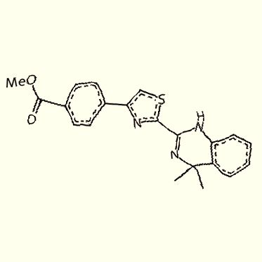 COC(=O)c1ccc(-c2csc(C3=NC(C)(C)c4ccccc4N3)n2)cc1